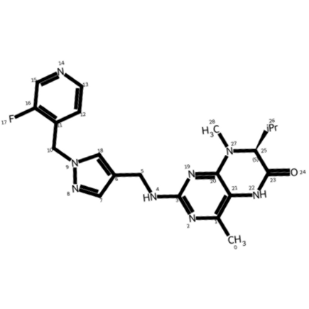 Cc1nc(NCc2cnn(Cc3ccncc3F)c2)nc2c1NC(=O)[C@H](C(C)C)N2C